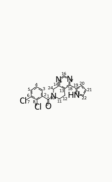 O=C(c1cccc(Cl)c1Cl)N1CCc2c(ncnc2-c2ccc[nH]2)C1